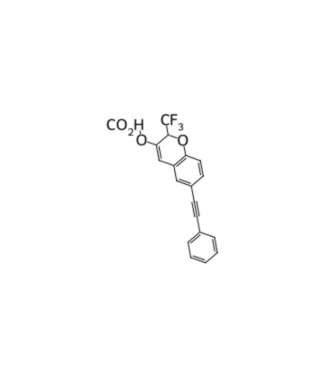 O=C(O)OC1=Cc2cc(C#Cc3ccccc3)ccc2OC1C(F)(F)F